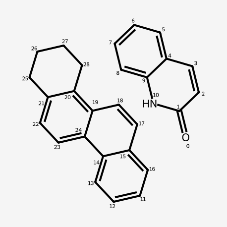 O=c1ccc2ccccc2[nH]1.c1ccc2c(c1)ccc1c3c(ccc12)CCCC3